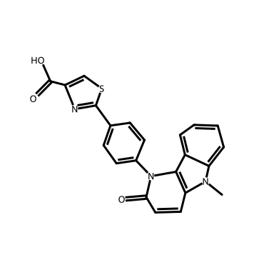 Cn1c2ccccc2c2c1ccc(=O)n2-c1ccc(-c2nc(C(=O)O)cs2)cc1